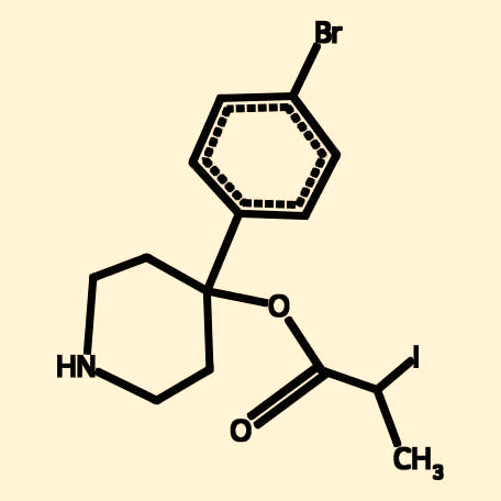 CC(I)C(=O)OC1(c2ccc(Br)cc2)CCNCC1